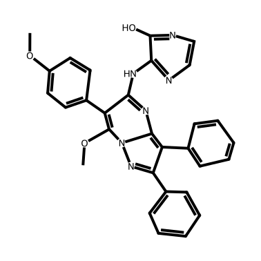 COc1ccc(-c2c(Nc3nccnc3O)nc3c(-c4ccccc4)c(-c4ccccc4)nn3c2OC)cc1